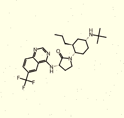 CCC[C@H]1C[C@H](NC(C)(C)C)CC[C@@H]1N1CC[C@H](Nc2ncnc3ccc(C(F)(F)F)cc23)C1=O